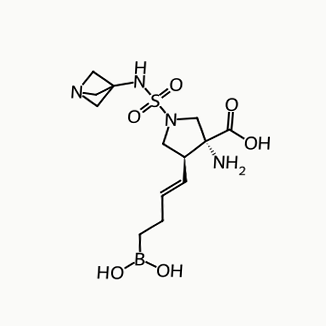 N[C@@]1(C(=O)O)CN(S(=O)(=O)NC23CN(C2)C3)C[C@@H]1/C=C/CCB(O)O